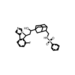 O=S(=O)(NCC1C2CC3CC1CC(C(O)CC1c4c(F)cccc4-c4cncn41)(C3)C2)c1ccccc1